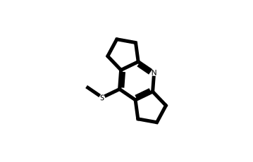 CSc1c2c(nc3c1CCC3)CCC2